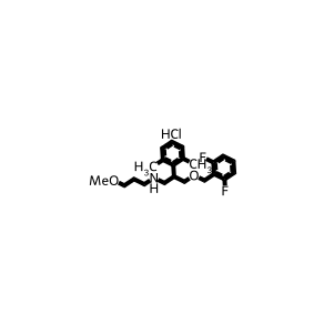 COCCCNCC(COCc1c(F)cccc1F)c1c(C)cccc1C.Cl